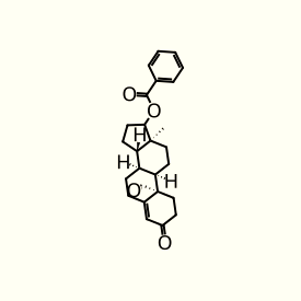 C[C@]12CC[C@@H]3[C@@H](CCC4=CC(=O)CC[C@@]43C=O)[C@@H]1CCC2OC(=O)c1ccccc1